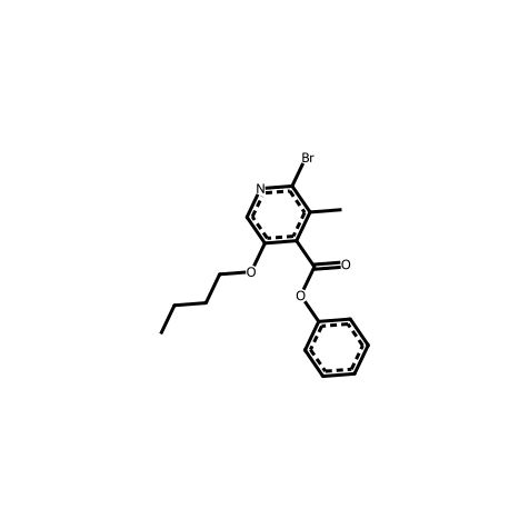 CCCCOc1cnc(Br)c(C)c1C(=O)Oc1ccccc1